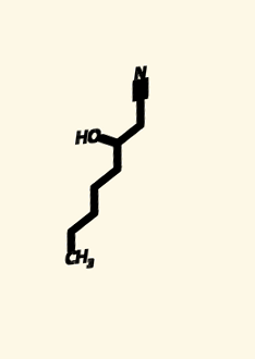 CCCCCC(O)CC#N